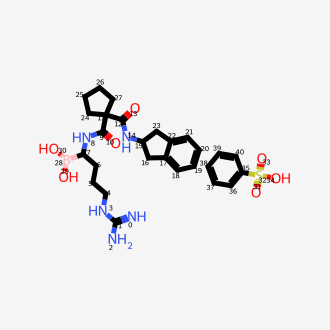 N=C(N)NCCCC(NC(=O)C1(C(=O)NC2Cc3ccccc3C2)CCCC1)B(O)O.O=S(=O)(O)c1ccccc1